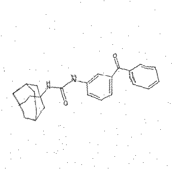 O=C(Nc1cccc(C(=O)c2ccccc2)c1)NC12CC3CC(CC(C3)C1)C2